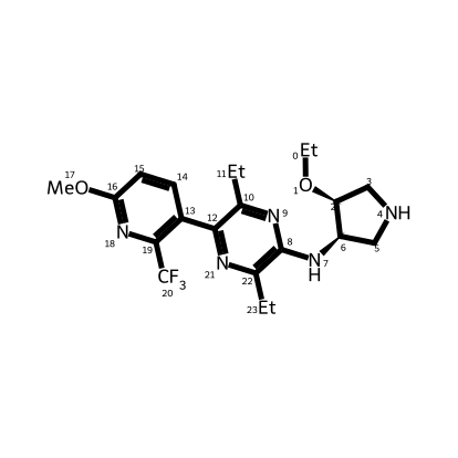 CCO[C@H]1CNC[C@H]1Nc1nc(CC)c(-c2ccc(OC)nc2C(F)(F)F)nc1CC